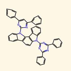 c1ccc(-c2cc(-c3ccccc3)nc(-n3c4ccccc4c4ccc5c(c6ccccc6n5-c5nc(-c6ccccc6)nc(-c6ccccc6)n5)c43)n2)cc1